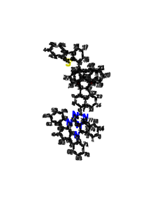 c1ccc(-c2nc(-c3ccc4c5c(cccc35)C35c6ccccc6-c6ccccc6C43c3ccc(-c4cccc6c4sc4ccccc46)c4cccc5c34)nc(-n3c4ccccc4c4ccc5c6ccccc6n(-c6ccccc6)c5c43)n2)cc1